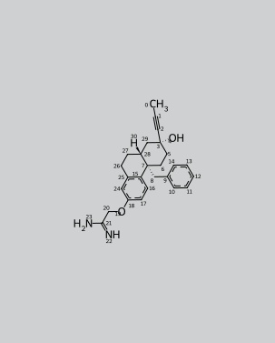 CC#C[C@@]1(O)CC[C@@]2(Cc3ccccc3)c3ccc(OCC(=N)N)cc3CC[C@@H]2C1